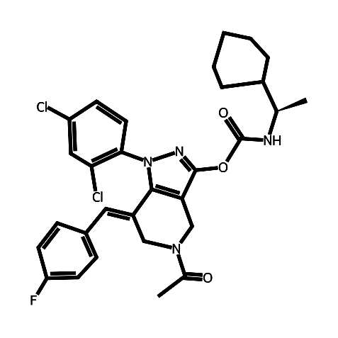 CC(=O)N1C/C(=C\c2ccc(F)cc2)c2c(c(OC(=O)N[C@H](C)C3CCCCC3)nn2-c2ccc(Cl)cc2Cl)C1